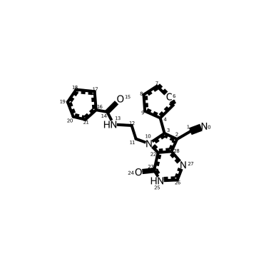 N#Cc1c(-c2ccccc2)n(CCNC(=O)c2ccccc2)c2c(=O)[nH]cnc12